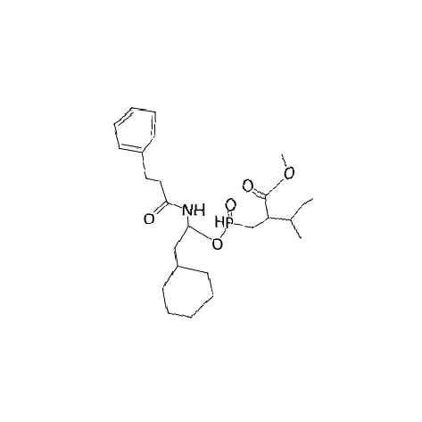 COC(=O)C(C[PH](=O)OC(CC1CCCCC1)NC(=O)CCc1ccccc1)C(C)C